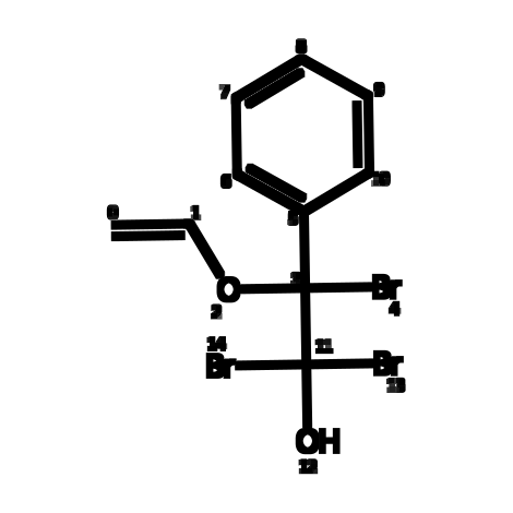 C=COC(Br)(c1ccccc1)C(O)(Br)Br